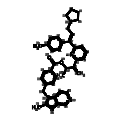 C=C(c1cccc(/C(=C/CN2CCCC2)c2ccc(C)cc2)n1)[C@@H](C)OC(=O)c1ccc(Cn2c(C)nc3cnccc32)cc1